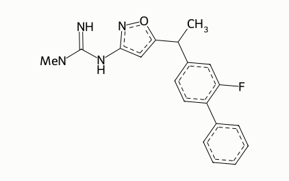 CNC(=N)Nc1cc(C(C)c2ccc(-c3ccccc3)c(F)c2)on1